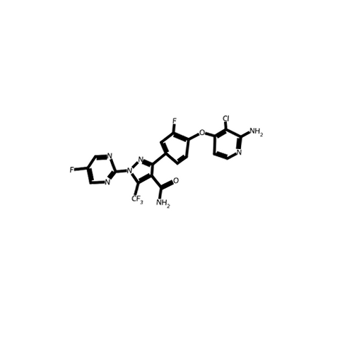 NC(=O)c1c(-c2ccc(Oc3ccnc(N)c3Cl)c(F)c2)nn(-c2ncc(F)cn2)c1C(F)(F)F